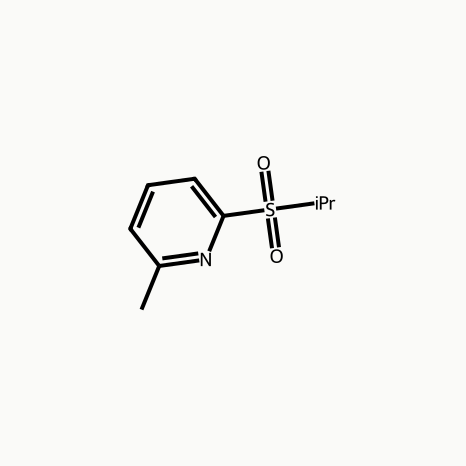 Cc1cccc(S(=O)(=O)C(C)C)n1